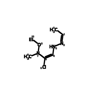 C/C=N\N/C=C(/Cl)N(C)OCC